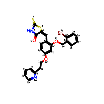 O=C1NC(=S)SC1=Cc1ccc(OCCc2ccccn2)cc1OCc1ccccc1Br